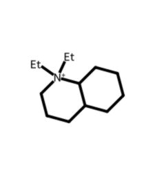 CC[N+]1(CC)CCCC2CCCCC21